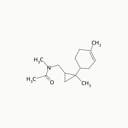 CC(=O)N(C)CC1CC1(C)C1CC=C(C)CC1